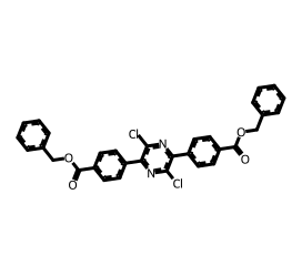 O=C(OCc1ccccc1)c1ccc(-c2nc(Cl)c(-c3ccc(C(=O)OCc4ccccc4)cc3)nc2Cl)cc1